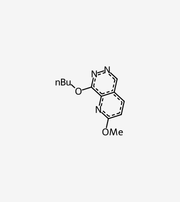 CCCCOc1nncc2ccc(OC)nc12